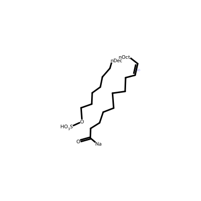 CCCCCCCC/C=C\CCCCCCC[C](=O)[Na].CCCCCCCCCCCCCCCCOS(=O)(=O)O